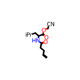 C=CCCC(=O)NC(CC(C)C)C(=O)OCC#N